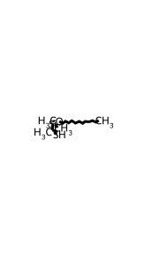 CCCCCCCCCCCCO[Si](C)(C)CC(C)CS